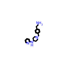 NCCc1ccc(CN2CCC(Nc3ccccn3)CC2)cc1